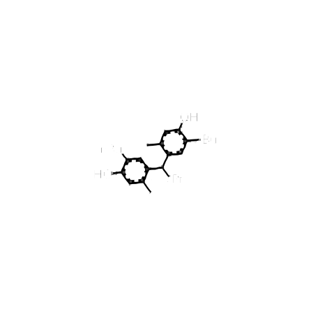 CCCCc1cc(C(c2cc(C(C)CC)c(O)cc2C)C(C)C)c(C)cc1O